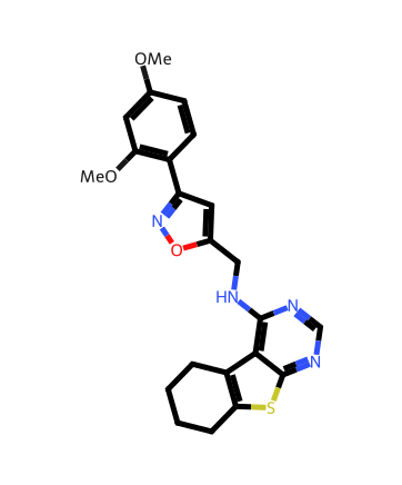 COc1ccc(-c2cc(CNc3ncnc4sc5c(c34)CCCC5)on2)c(OC)c1